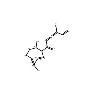 C=CC(F)=C=CC(=C)C1/C=C/C(C)=C/CCC1C